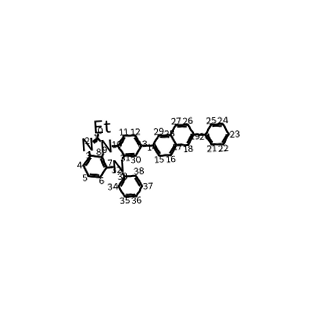 CCc1nc2cccc3c2n1-c1ccc(-c2ccc4cc(-c5ccccc5)ccc4c2)cc1N3c1ccccc1